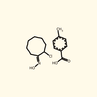 Cc1ccc(C(=O)O)cc1.ON=C1CCCCCCC1Cl